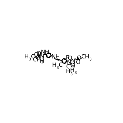 CCOC(=O)CNC(=O)N(c1cc(C)c(C#CCNc2ccc(C(=N)NC(=O)OC(C)(C)C)cc2)cc1F)C(C)C